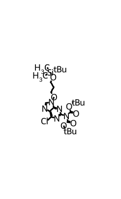 CC(C)(C)OC(=O)N(C(=O)OC(C)(C)C)c1nc(Cl)c2ncn(OCCCO[Si](C)(C)C(C)(C)C)c2n1